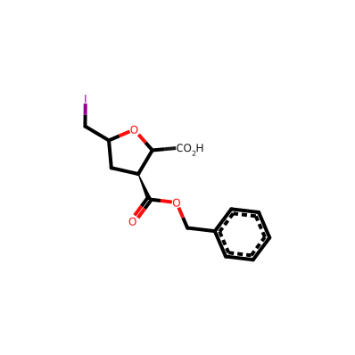 O=C(O)C1OC(CI)C[C@@H]1C(=O)OCc1ccccc1